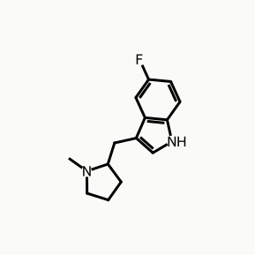 CN1CCCC1Cc1c[nH]c2ccc(F)cc12